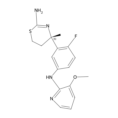 COc1cccnc1Nc1ccc(F)c([C@]2(C)CCSC(N)=N2)c1